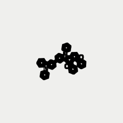 c1ccc(-n2c3ccccc3c3cc(-c4ccc5c(c4)c4c6oc7ccccc7c6c6c(ccc7oc8ccccc8c76)c4n5-c4ccccc4)ccc32)cc1